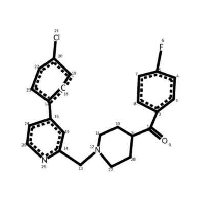 O=C(c1ccc(F)cc1)C1CCN(Cc2cc(-c3ccc(Cl)cc3)ccn2)CC1